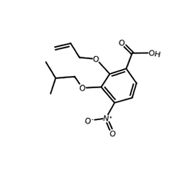 C=CCOc1c(C(=O)O)ccc([N+](=O)[O-])c1OCC(C)C